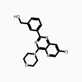 OCc1cccc(-c2nc(N3CCOCC3)c3ncc(Cl)cc3n2)c1